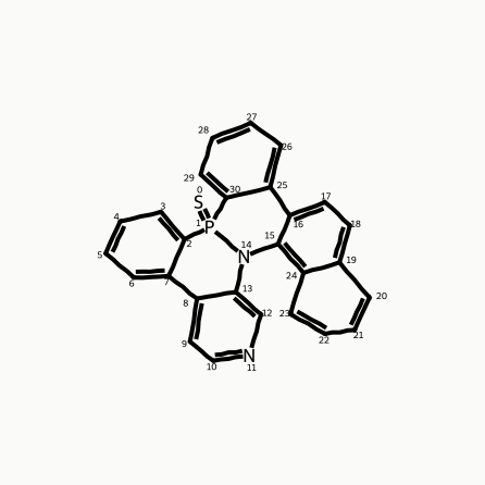 S=P12c3ccccc3-c3ccncc3N1c1c(ccc3ccccc13)-c1ccccc12